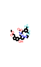 CCOC(=O)CC1CCc2cc(O)c(-c3ccc(N4CCC4)nc3CN(C)[C@@H](C)[C@H](OC=O)c3cc(C(F)(F)F)cc(C(F)(F)F)c3)cc21